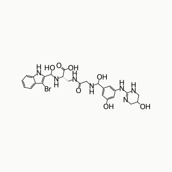 O=C(CNC(O)c1cc(O)cc(NC2=NCC(O)CN2)c1)NC[C@H](NC(O)c1[nH]c2ccccc2c1Br)C(=O)O